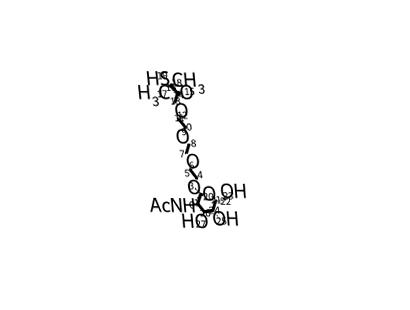 CC(=O)N[C@H]1[C@H](OCCOCCOCCOCC(=O)C(C)(C)S)O[C@H](CO)[C@H](O)[C@@H]1O